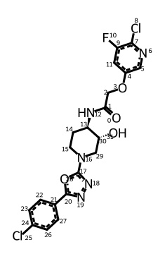 O=C(COc1cnc(Cl)c(F)c1)N[C@@H]1CCN(c2nnc(-c3ccc(Cl)cc3)o2)C[C@H]1O